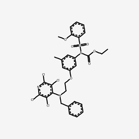 CCOC(=O)N(c1cc(C)cc(OCCN(Cc2ccccc2)c2c(Cl)c(Cl)nc(Cl)c2Cl)c1)S(=O)(=O)c1ccccc1OC